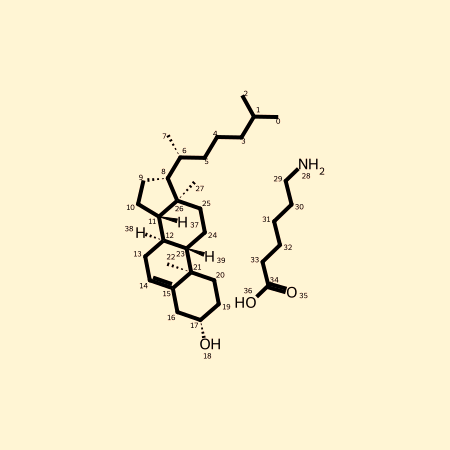 CC(C)CCC[C@@H](C)[C@H]1CC[C@H]2[C@@H]3CC=C4C[C@@H](O)CC[C@]4(C)[C@H]3CC[C@]12C.NCCCCCC(=O)O